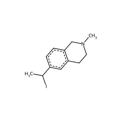 CC(I)c1ccc2c(c1)CCN(C)C2